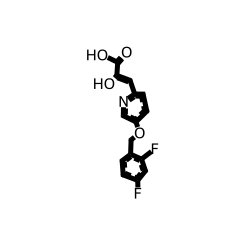 O=C(O)/C(O)=C/c1ccc(OCc2ccc(F)cc2F)cn1